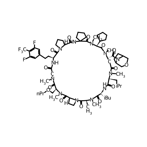 CCCOC[C@H]1C(=O)N(C)CC(=O)N[C@@H](CCc2cc(F)c(C(F)(F)F)c(F)c2)C(=O)N2CCC[C@H]2C(=O)NC2(CCCC2)C(=O)N(C)[C@@H](C2CCCC2)C(=O)N(C)[C@H](C(=O)N2C3CCC2COC3)CC(=O)N(C)[C@@H](CC(C)C)C(=O)N[C@@H]([C@@H](C)CC)C(=O)N(C)[C@@H](C)C(=O)N2CC[C@H]2C(=O)N1C